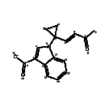 CC(=O)/C=C/C1(n2cc([N+](=O)[O-])c3ccccc32)CC1